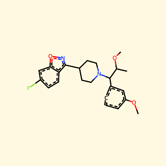 COc1cccc(C(C(C)OC)N2CCC(c3noc4cc(F)ccc34)CC2)c1